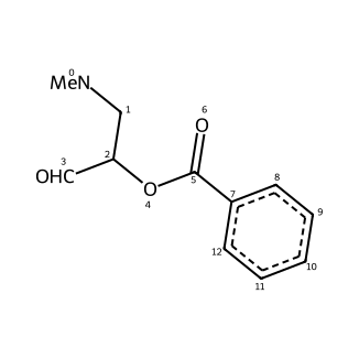 CNCC(C=O)OC(=O)c1ccccc1